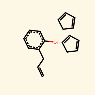 C1=CCC=C1.C1=CCC=C1.C=CCc1ccccc1O